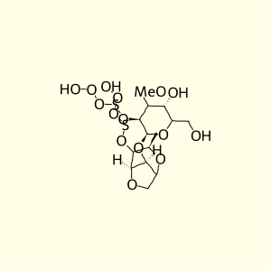 COC1[C@H](O)C(CO)O[C@@H](O[C@H]2C3CO[C@H]2C(OSOOO)[C@@H](C)O3)[C@H]1OSOOO